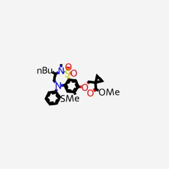 CCCCC1CN(c2ccccc2)c2cc(SC)c(OCC3(C(=O)OC)CC3)cc2S(=O)(=O)N1C